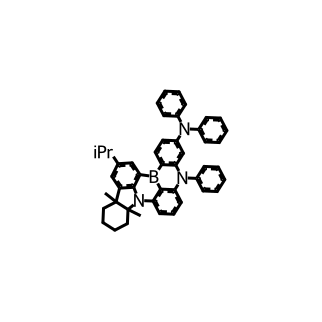 CC(C)c1cc2c3c(c1)C1(C)CCCCC1(C)N3c1cccc3c1B2c1ccc(N(c2ccccc2)c2ccccc2)cc1N3c1ccccc1